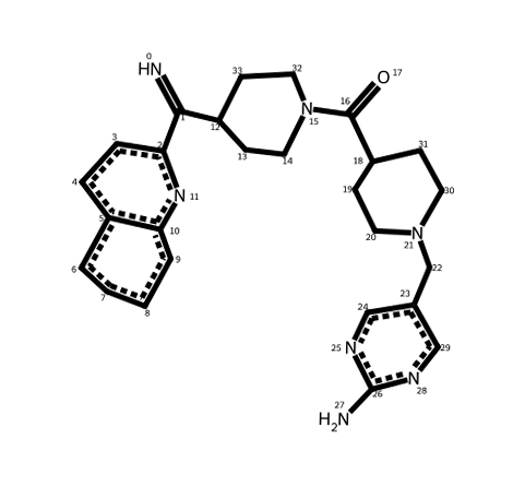 N=C(c1ccc2ccccc2n1)C1CCN(C(=O)C2CCN(Cc3cnc(N)nc3)CC2)CC1